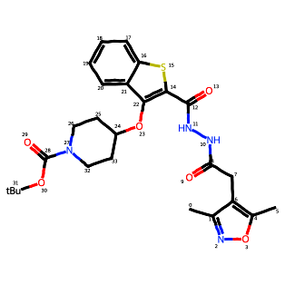 Cc1noc(C)c1CC(=O)NNC(=O)c1sc2ccccc2c1OC1CCN(C(=O)OC(C)(C)C)CC1